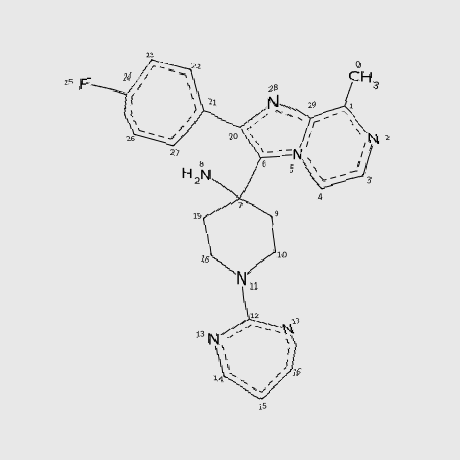 Cc1nccn2c(C3(N)CCN(c4ncccn4)CC3)c(-c3ccc(F)cc3)nc12